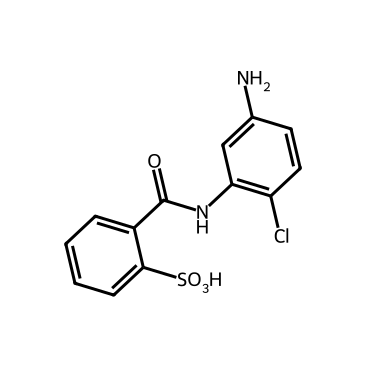 Nc1ccc(Cl)c(NC(=O)c2ccccc2S(=O)(=O)O)c1